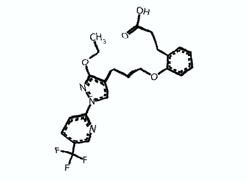 CCOc1nn(-c2ccc(C(F)(F)F)cn2)cc1CCCOc1ccccc1CCC(=O)O